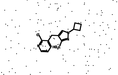 O=C(O)c1nn(C2CCC2)cc1Cc1cccnc1Cl